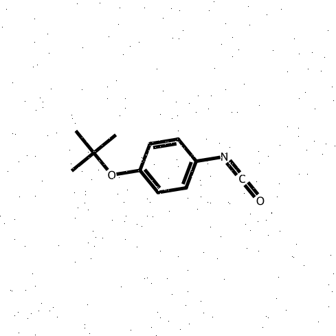 CC(C)(C)Oc1ccc(N=C=O)cc1